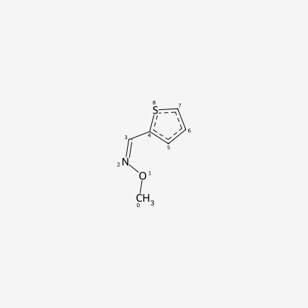 CO/N=[C]\c1cccs1